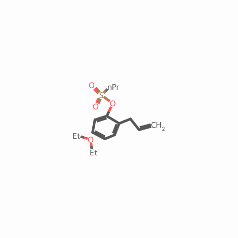 C=CCc1ccccc1OS(=O)(=O)CCC.CCOCC